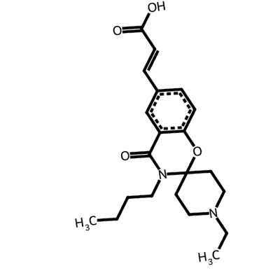 CCCCN1C(=O)c2cc(C=CC(=O)O)ccc2OC12CCN(CC)CC2